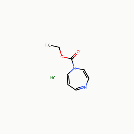 Cl.O=C(OCC(F)(F)F)N1C=CC=NC=C1